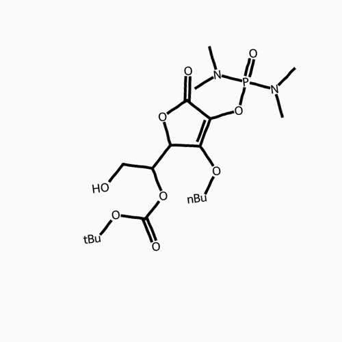 CCCCOC1=C(OP(=O)(N(C)C)N(C)C)C(=O)OC1C(CO)OC(=O)OC(C)(C)C